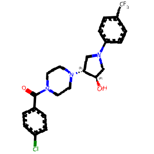 O=C(c1ccc(Cl)cc1)N1CCN([C@@H]2CN(c3ccc(C(F)(F)F)cc3)C[C@H]2O)CC1